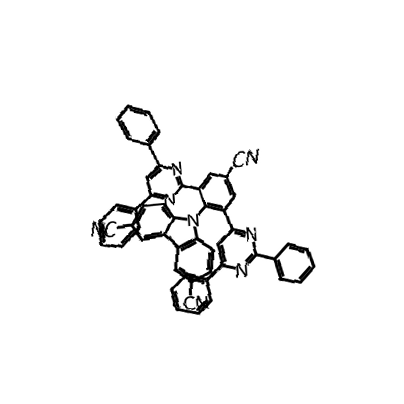 N#Cc1cc(-c2cc(-c3ccccc3)nc(-c3ccccc3)n2)c(-n2c3ccc(C#N)cc3c3cc(C#N)ccc32)c(-c2nc(-c3ccccc3)cc(-c3ccccc3)n2)c1